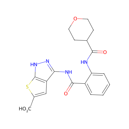 O=C(O)c1cc2c(NC(=O)c3ccccc3NC(=O)C3CCOCC3)n[nH]c2s1